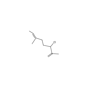 C=C(C)C(Cl)CC/C(C)=C/C